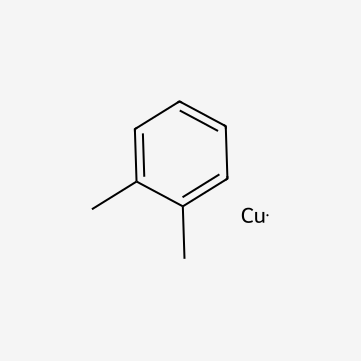 Cc1ccccc1C.[Cu]